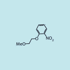 COCCOc1cc[c]cc1[N+](=O)[O-]